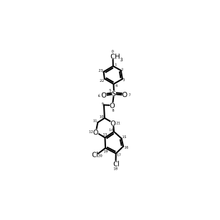 Cc1ccc(S(=O)(=O)OCC2COc3c(ccc(Cl)c3Cl)O2)cc1